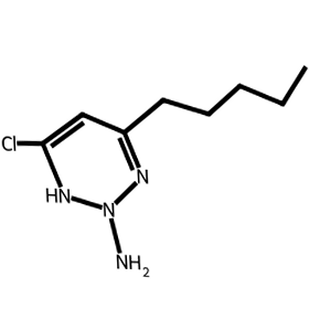 CCCCCC1=NN(N)NC(Cl)=C1